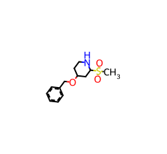 CS(=O)(=O)C1CC(OCc2ccccc2)CCN1